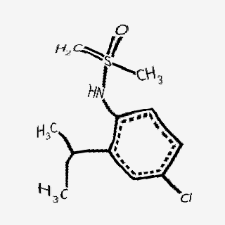 C=S(C)(=O)Nc1ccc(Cl)cc1C(C)C